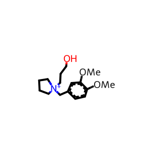 COc1ccc(C[N+]2(CCCO)CCCC2)cc1OC